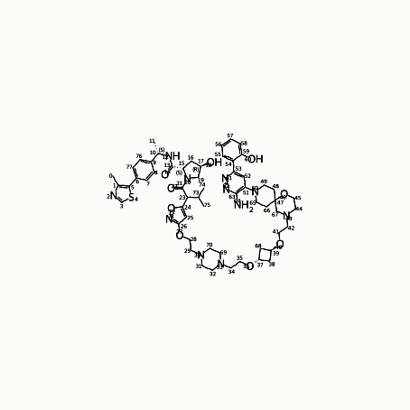 Cc1ncsc1-c1ccc([C@H](C)NC(=O)[C@@H]2C[C@@H](O)CN2C(=O)C(c2cc(OCCN3CCN(CCO[C@H]4C[C@H](OCCN5CCOC6(CCN(c7cc(-c8ccccc8O)nnc7N)CC6)C5)C4)CC3)no2)C(C)C)cc1